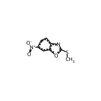 CSc1nc2ccc([N+](=O)[O-])cc2o1